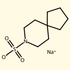 O=S(=O)([O-])N1CCC2(CCCC2)CC1.[Na+]